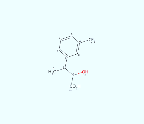 CC(c1cccc(C(F)(F)F)c1)C(O)C(=O)O